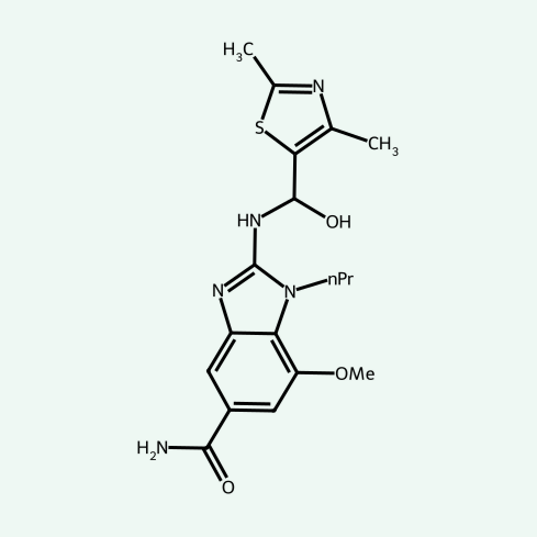 CCCn1c(NC(O)c2sc(C)nc2C)nc2cc(C(N)=O)cc(OC)c21